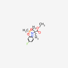 CCOC(=O)C(C)(C)NP(C)(=O)Oc1cccc(F)c1